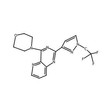 FC(F)(F)Cn1ccc(-c2nc(N3CCOCC3)c3ncccc3n2)n1